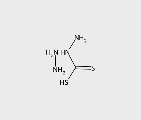 NN.NNC(=S)S